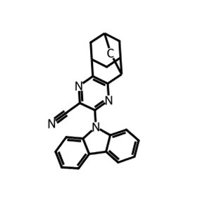 N#Cc1nc2c(nc1-n1c3ccccc3c3ccccc31)C1CC3CC2CC1C3